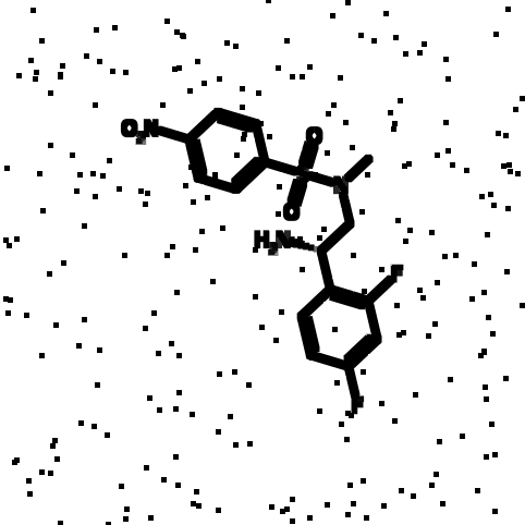 CN(C[C@@H](N)c1ccc(F)cc1F)S(=O)(=O)c1ccc([N+](=O)[O-])cc1